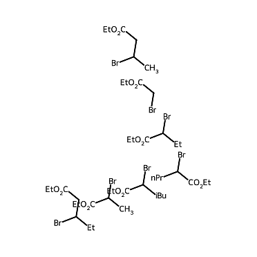 CCCC(Br)C(=O)OCC.CCOC(=O)C(Br)C(C)CC.CCOC(=O)C(Br)CC.CCOC(=O)C(C)Br.CCOC(=O)CBr.CCOC(=O)CC(Br)CC.CCOC(=O)CC(C)Br